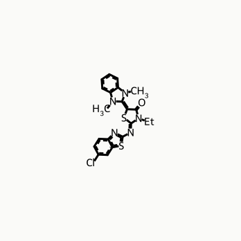 CCN1C(=O)C(=C2N(C)c3ccccc3N2C)S/C1=N\c1nc2ccc(Cl)cc2s1